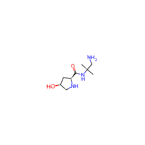 CC(C)(CN)NC(=O)[C@@H]1C[C@H](O)CN1